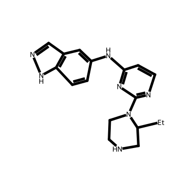 CCC1CNCCN1c1nccc(Nc2ccc3[nH]ncc3c2)n1